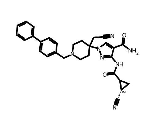 N#CCC1(n2cc(C(N)=O)c(NC(=O)C3C[C@@H]3C#N)n2)CCN(Cc2ccc(-c3ccccc3)cc2)CC1